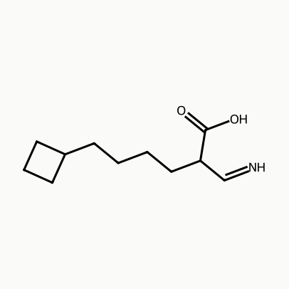 N=CC(CCCCC1CCC1)C(=O)O